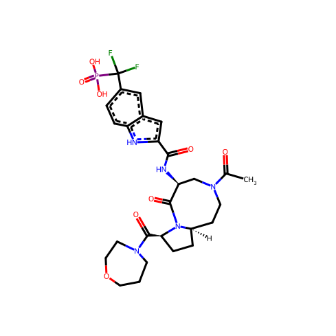 CC(=O)N1CC[C@H]2CC[C@@H](C(=O)N3CCCOCC3)N2C(=O)[C@@H](NC(=O)c2cc3cc(C(F)(F)P(=O)(O)O)ccc3[nH]2)C1